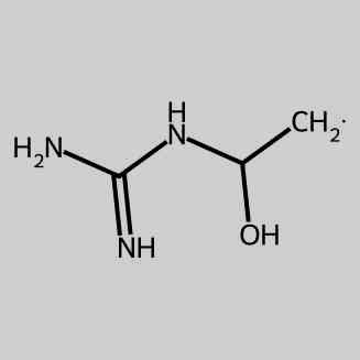 [CH2]C(O)NC(=N)N